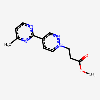 COC(=O)CC[n+]1ccc(-c2nccc(C)n2)cn1